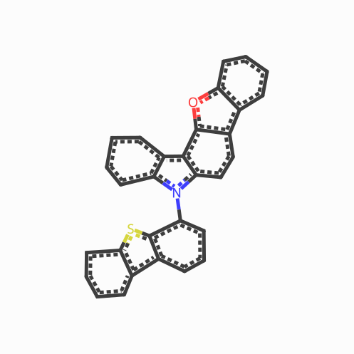 c1ccc2c(c1)oc1c2ccc2c1c1ccccc1n2-c1cccc2c1sc1ccccc12